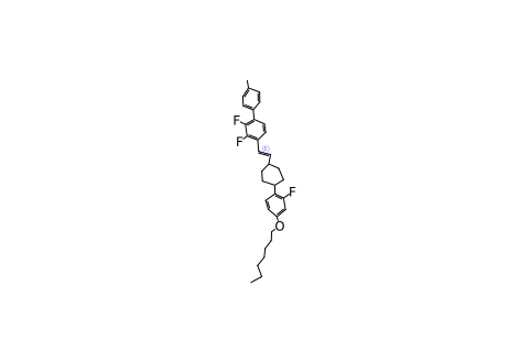 CCCCCCCOc1ccc(C2CCC(/C=C/c3ccc(-c4ccc(C)cc4)c(F)c3F)CC2)c(F)c1